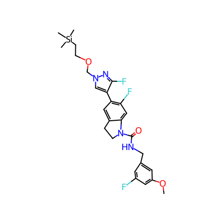 COc1cc(F)cc(CNC(=O)N2CCc3cc(-c4cn(COCC[Si](C)(C)C)nc4F)c(F)cc32)c1